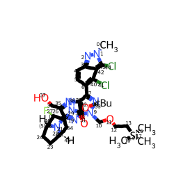 Cn1nc2ccc(-c3nn(COCC[Si](C)(C)C)c4nc(N5[C@@H]6CC[C@H]5[C@@H](F)[C@@H](NC(=O)OC(C)(C)C)C6)c(CO)nc34)c(Cl)c2c1Cl